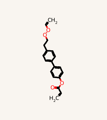 C=COOCCc1ccc(-c2ccc(OC(=O)C=C)cc2)cc1